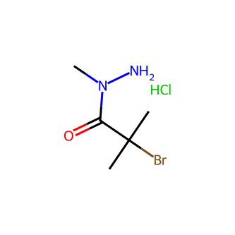 CN(N)C(=O)C(C)(C)Br.Cl